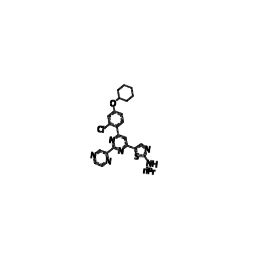 CCCNc1ncc(-c2cc(-c3ccc(OC4CCCCC4)cc3Cl)nc(-c3cnccn3)n2)s1